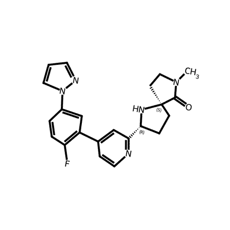 CN1CC[C@@]2(CC[C@H](c3cc(-c4cc(-n5cccn5)ccc4F)ccn3)N2)C1=O